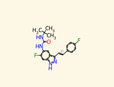 CC(C)(C)NC(=O)Nc1cc2c(/C=C/c3ccc(F)cc3)n[nH]c2cc1F